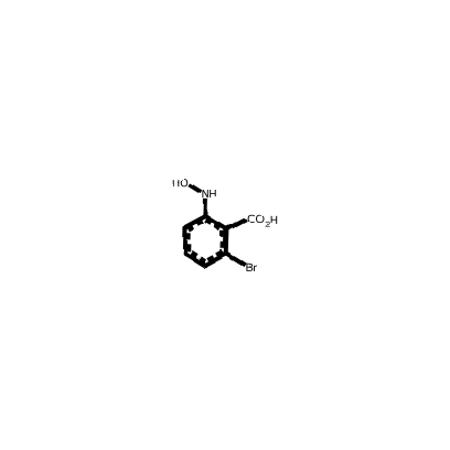 O=C(O)c1c(Br)cccc1NO